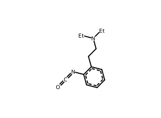 CCN(CC)CCc1ccccc1N=C=O